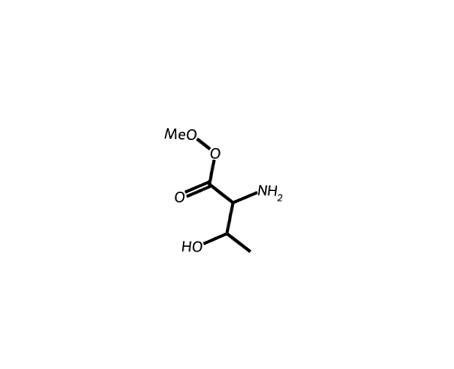 COOC(=O)C(N)C(C)O